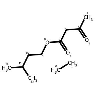 CC.CC(=O)CC(=O)OCCC(C)C